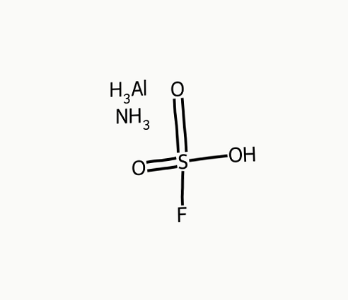 N.O=S(=O)(O)F.[AlH3]